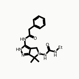 CCNC(=O)NN1Cc2c(n[nH]c2NC(=O)Cc2ccccc2)C1(C)C